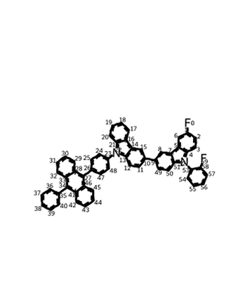 Fc1ccc2c(c1)c1cc(-c3ccc4c(c3)c3ccccc3n4-c3ccc(-c4c5ccccc5c(-c5ccccc5)c5ccccc45)cc3)ccc1n2-c1ccccc1F